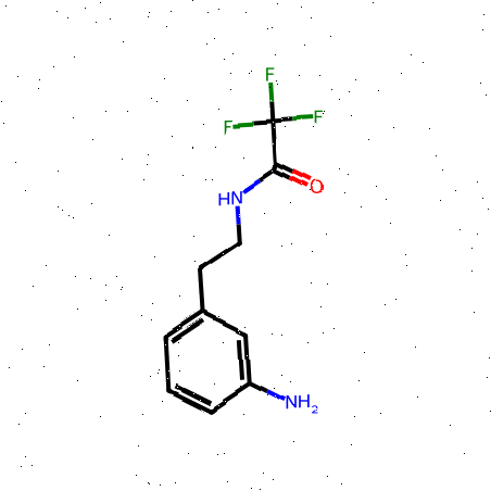 Nc1cccc(CCNC(=O)C(F)(F)F)c1